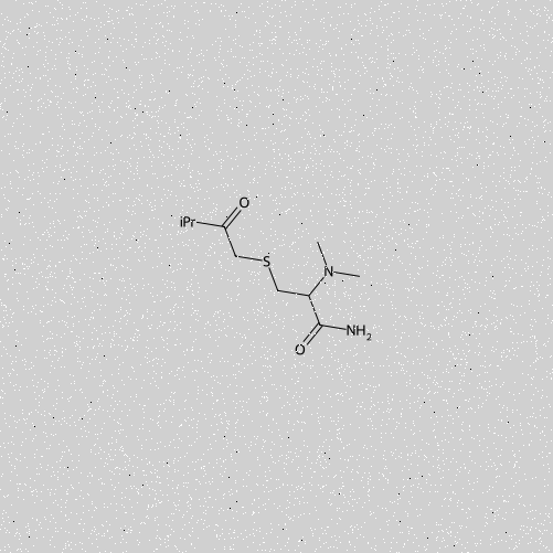 CC(C)C(=O)CSCC(C(N)=O)N(C)C